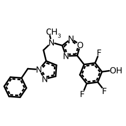 CN(Cc1ccnn1Cc1ccccc1)c1noc(-c2cc(F)c(F)c(O)c2F)n1